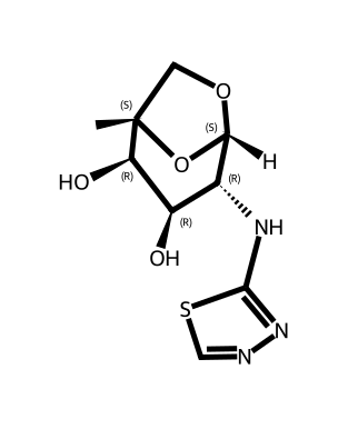 C[C@@]12CO[C@@H](O1)[C@H](Nc1nncs1)[C@@H](O)[C@H]2O